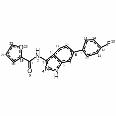 O=C(Nc1n[nH]c2cc(-c3ccc(F)cc3)ccc12)c1ccco1